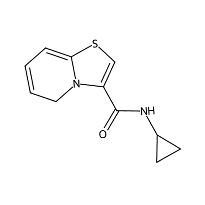 O=C(NC1CC1)C1=CSC2=CC=CCN21